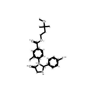 COC(C)(C)CCOC(=O)c1ccc(N2C(=O)CSC2c2ccc(F)cc2)c(C)c1